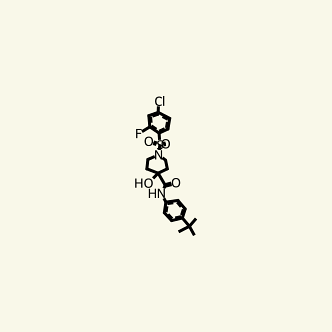 CC(C)(C)c1ccc(NC(=O)C2(O)CCN(S(=O)(=O)c3ccc(Cl)cc3F)CC2)cc1